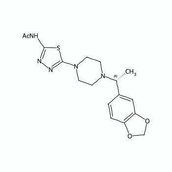 CC(=O)Nc1nnc(N2CCN([C@H](C)c3ccc4c(c3)OCO4)CC2)s1